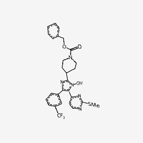 CSc1nccc(-c2c(-c3cccc(C(F)(F)F)c3)nc(C3CCN(C(=O)OCc4ccccc4)CC3)n2O)n1